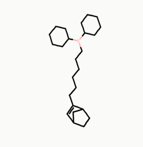 C1=C(CCCCCCB(C2CCCCC2)C2CCCCC2)C2CCC1C2